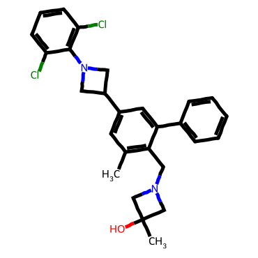 Cc1cc(C2CN(c3c(Cl)cccc3Cl)C2)cc(-c2ccccc2)c1CN1CC(C)(O)C1